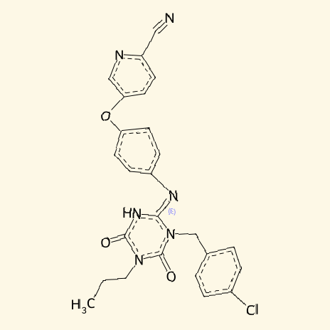 CCCn1c(=O)[nH]/c(=N\c2ccc(Oc3ccc(C#N)nc3)cc2)n(Cc2ccc(Cl)cc2)c1=O